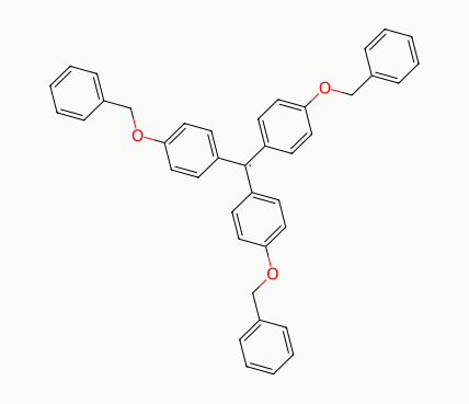 c1ccc(COc2ccc([C](c3ccc(OCc4ccccc4)cc3)c3ccc(OCc4ccccc4)cc3)cc2)cc1